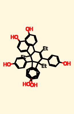 CCC1=C(c2ccc(O)cc2)C(CC)(c2ccc(O)cc2)C(c2ccc(O)cc2)(c2ccc(O)cc2)C(CC)(c2ccc(O)cc2)C1c1ccc(O)cc1